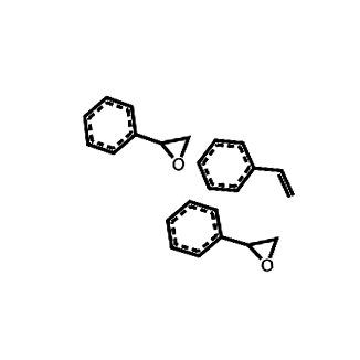 C=Cc1ccccc1.c1ccc(C2CO2)cc1.c1ccc(C2CO2)cc1